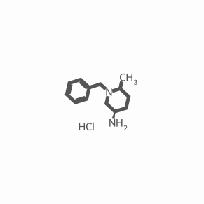 CC1CC[C@@H](N)CN1Cc1ccccc1.Cl